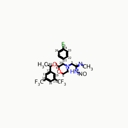 C/N=C(/CN1CCOC(O[C@H](C)c2cc(C(F)(F)F)cc(C(F)(F)F)c2)[C@@H]1c1ccc(F)cc1)NN=O